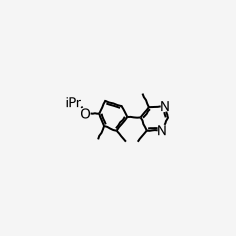 Cc1ncnc(C)c1-c1ccc(OC(C)C)c(C)c1C